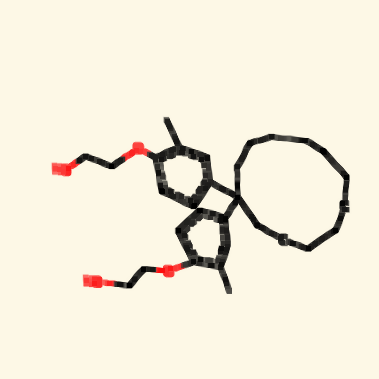 Cc1cc(C2(c3ccc(OCCO)c(C)c3)CCCCCCCCCCC2)ccc1OCCO